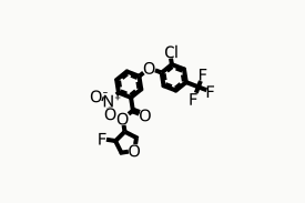 O=C(OC1COCC1F)c1cc(Oc2ccc(C(F)(F)F)cc2Cl)ccc1[N+](=O)[O-]